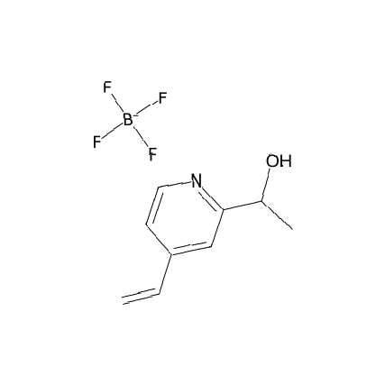 C=Cc1ccnc(C(C)O)c1.F[B-](F)(F)F